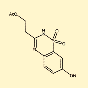 CC(=O)OCCC1=Nc2ccc(O)cc2S(=O)(=O)N1